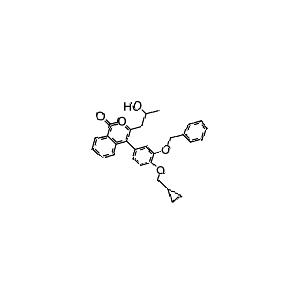 CC(O)Cc1oc(=O)c2ccccc2c1-c1ccc(OCC2CC2)c(OCc2ccccc2)c1